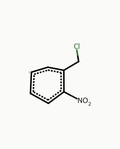 O=[N+]([O-])c1cc[c]cc1CCl